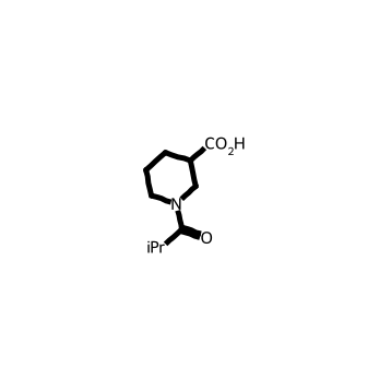 CC(C)C(=O)N1CCCC(C(=O)O)C1